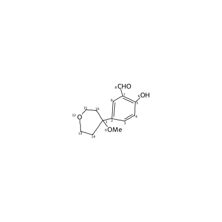 COC1(c2ccc(O)c(C=O)c2)CCOCC1